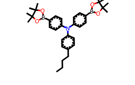 CCCCc1ccc(N(c2ccc(B3OC(C)(C)C(C)(C)O3)cc2)c2ccc(B3OC(C)(C)C(C)(C)O3)cc2)cc1